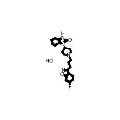 Cl.O=c1[nH]c2ccccc2n1C1CCN(CCCc2noc3cc(F)ccc23)CC1